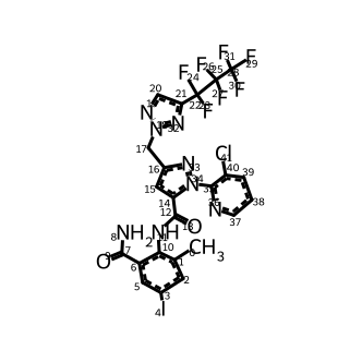 Cc1cc(I)cc(C(N)=O)c1NC(=O)c1cc(Cn2ncc(C(F)(F)C(F)(F)C(F)(F)F)n2)nn1-c1ncccc1Cl